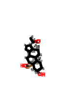 CC(=O)[C@H]1CCC2C3C[C@@H](O)[C@@]4(Br)C[C@@H](O)CC[C@]4(C)C3CC[C@@]21C